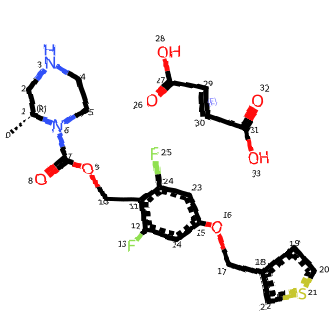 C[C@@H]1CNCCN1C(=O)OCc1c(F)cc(OCc2ccsc2)cc1F.O=C(O)/C=C/C(=O)O